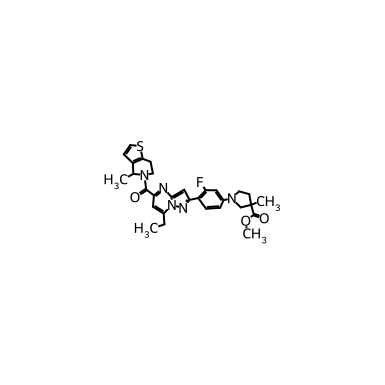 CCc1cc(C(=O)N2CCc3sccc3C2C)nc2cc(-c3ccc(N4CCC(C)(C(=O)OC)C4)cc3F)nn12